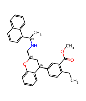 CCc1ccc([C@@H]2C[C@H](CN[C@H](C)c3cccc4ccccc34)Oc3ccccc32)cc1C(=O)OC